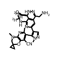 [2H]C([2H])([2H])Nc1nc(-c2cnn(C)c2-c2c(C)nc3c(c2C#N)OC2(CC2)CN3C)cc2c1C(=C=O)NN=C2CN